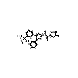 CC(C)(N=O)c1cccc(-c2cc(NC(=O)[C@H]3CNC(=O)C3)nn2-c2ccccc2)c1